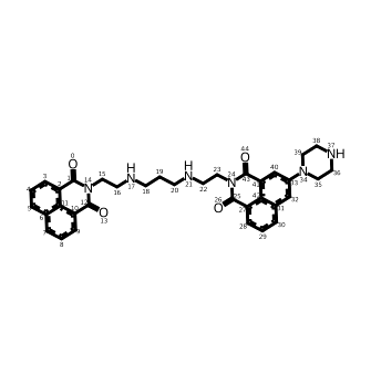 O=C1c2cccc3cccc(c23)C(=O)N1CCNCCCNCCN1C(=O)c2cccc3cc(N4CCNCC4)cc(c23)C1=O